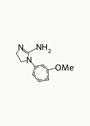 COc1cccc(N2CCN=C2N)c1